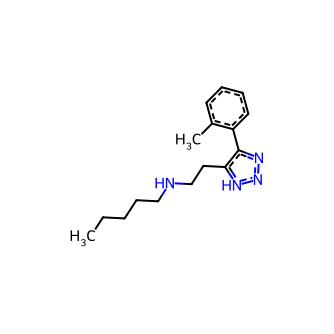 CCCCCNCCc1[nH]nnc1-c1ccccc1C